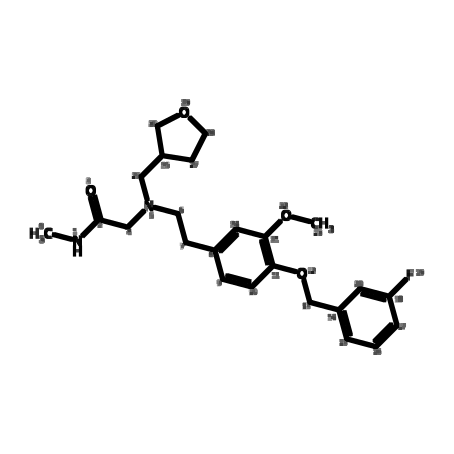 CNC(=O)CN(CCc1ccc(OCc2cccc(F)c2)c(OC)c1)CC1CCOC1